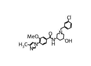 COc1cc(C(=O)N[C@@H]2C[C@@H](O)CN(Cc3cccc(Cl)c3)C2)ccc1-n1cnc(C)c1